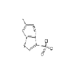 Cc1ccc2c(S(=O)(=O)Cl)csc2c1